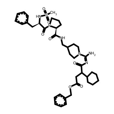 CS(=O)(=O)N[C@H](Cc1ccccc1)C(=O)N1CCC[C@H]1C(=O)NCC1CCN(/C(N)=N\C(=O)C(CC(=O)OCc2ccccc2)C2CCCCC2)CC1